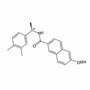 COc1ccc2cc(C(=O)N[C@H](C)c3ccc(C)c(C)c3)ccc2c1